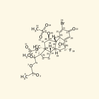 CC(=O)OCC(=O)[C@]1(OC(C)=O)CC[C@H]2[C@@H]3C[C@@H](F)C4=CC(=O)C(Br)=C[C@]4(C)[C@H]3[C@H](OS(C)(=O)=O)C[C@@]21C